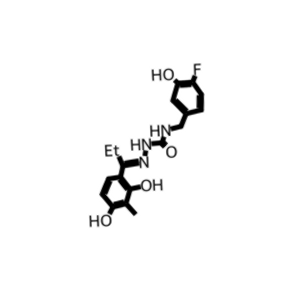 CC/C(=N\NC(=O)NCc1ccc(F)c(O)c1)c1ccc(O)c(C)c1O